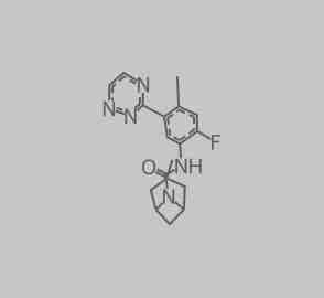 Cc1cc(F)c(NC(=O)N2C3CC(C)CC2C3)cc1-c1nccnn1